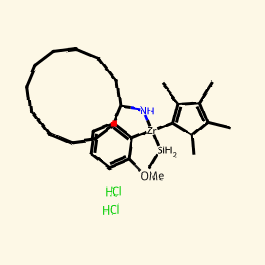 COc1cccc[c]1[Zr]([NH]C1CCCCCCCCCCC1)([SiH2]C)[C]1=C(C)C(C)=C(C)C1C.Cl.Cl